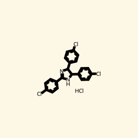 Cl.Clc1ccc(C2=NC(c3ccc(Cl)cc3)C(c3ccc(Cl)cc3)N2)cc1